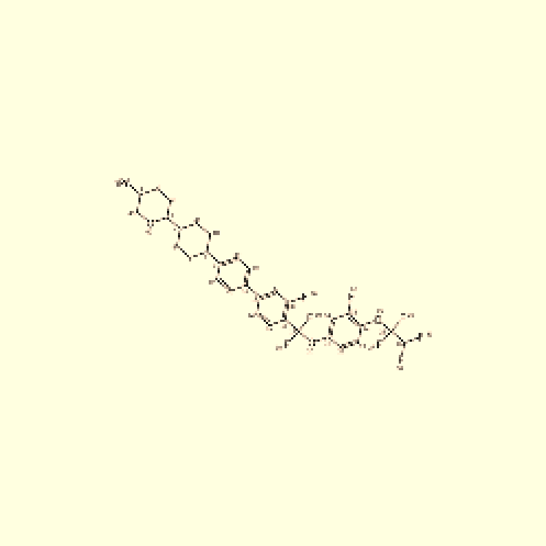 CCCC1CCC(C2CCC(c3ccc(-c4ccc(C(F)(F)Oc5ccc(OC(F)(F)C(F)F)c(F)c5)c(F)c4)cc3)CC2)OC1